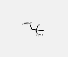 C=NCC(C)(C)OC